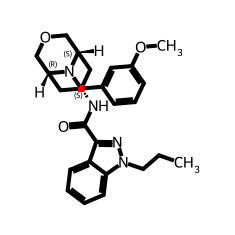 CCCn1nc(C(=O)N[C@H]2C[C@H]3COC[C@@H](C2)N3Cc2cccc(OC)c2)c2ccccc21